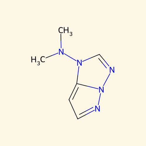 CN(C)n1cnn2nccc12